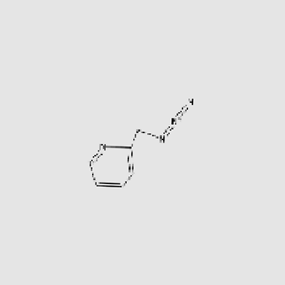 [N-]=[N+]=NCc1ccccn1